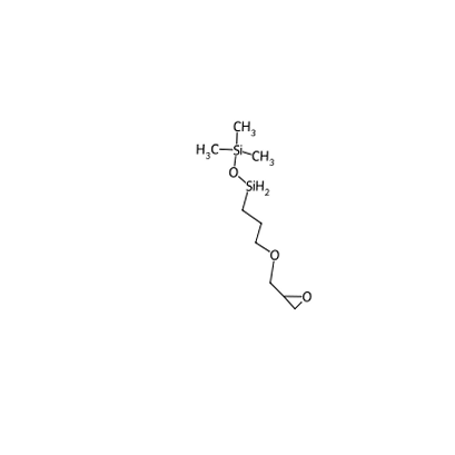 C[Si](C)(C)O[SiH2]CCCOCC1CO1